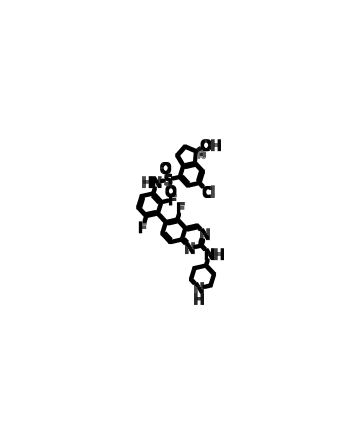 O=S(=O)(Nc1ccc(F)c(-c2ccc3nc(NC4CCNCC4)ncc3c2F)c1F)c1cc(Cl)cc2c1CC[C@H]2O